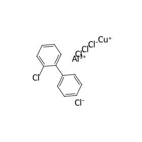 Clc1ccccc1-c1ccccc1.[Al+3].[Cl-].[Cl-].[Cl-].[Cl-].[Cu+]